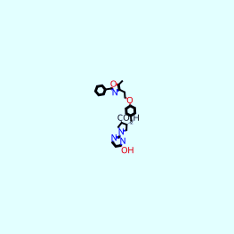 Cc1oc(-c2ccccc2)nc1CCOc1ccc(C[C@@H]2CN(c3nccc(O)n3)C[C@@H]2C(=O)O)cc1